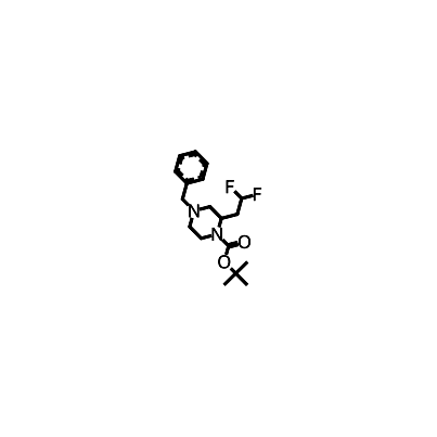 CC(C)(C)OC(=O)N1CCN(Cc2ccccc2)CC1CC(F)F